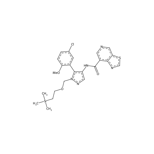 COc1ccc(Cl)cc1-c1c(NC(=O)c2cncc3scnc23)cnn1COCC[Si](C)(C)C